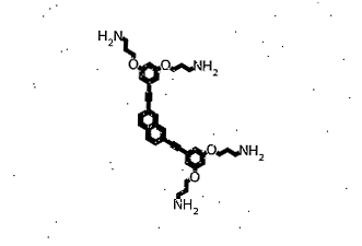 NCCCOc1cc(C#Cc2ccc3ccc(C#Cc4cc(OCCCN)cc(OCCCN)c4)cc3c2)cc(OCCCN)c1